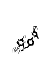 CCOC(=O)CN(Cc1ccc(-n2nc(C(F)(F)F)cc2C)cc1)c1nc(Cl)ncc1[N+](=O)[O-]